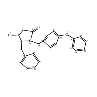 O=C1C[C@@H](S)[C@H](Cc2ccccc2)N1Cc1ccc(Oc2ccccc2)cc1